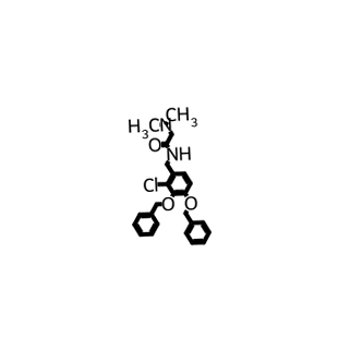 CN(C)CC(=O)NCc1ccc(OCc2ccccc2)c(OCc2ccccc2)c1Cl